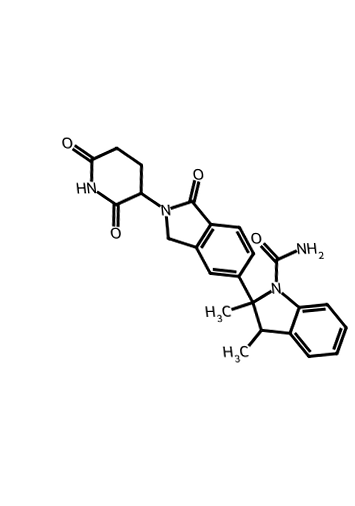 CC1c2ccccc2N(C(N)=O)C1(C)c1ccc2c(c1)CN(C1CCC(=O)NC1=O)C2=O